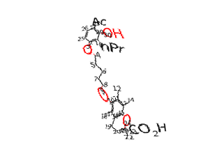 CCCc1c(OCCCCCOc2c(C)c(C)c3c(c2C)CC[C@@](C)(C(=O)O)O3)ccc(C(C)=O)c1O